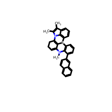 Cc1c(C)n2c3c(cccc13)B1C3=C2CCC=C3N(C)c2c1cccc2-c1ccc2ccccc2c1